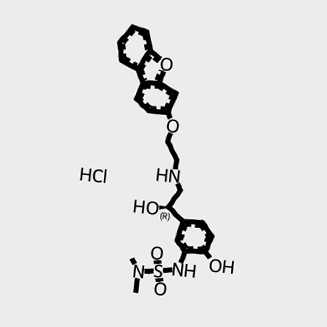 CN(C)S(=O)(=O)Nc1cc([C@@H](O)CNCCOc2ccc3c(c2)oc2ccccc23)ccc1O.Cl